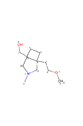 COCCC12CCC1(CO)CN(I)C2